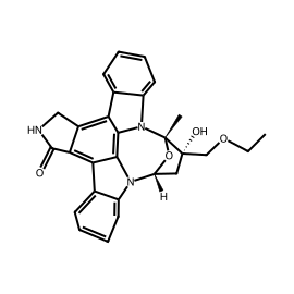 CCOC[C@@]1(O)C[C@H]2O[C@]1(C)n1c3ccccc3c3c4c(c5c6ccccc6n2c5c31)C(=O)NC4